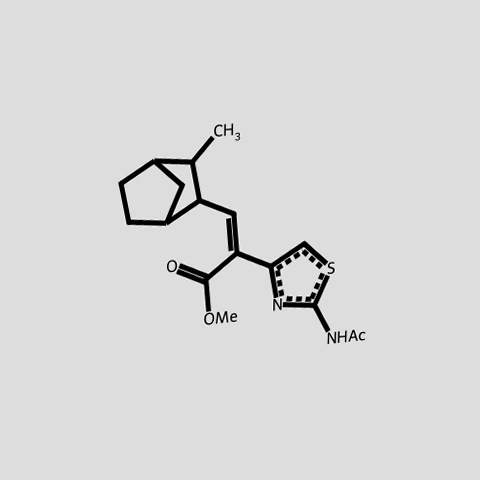 COC(=O)/C(=C\C1C2CCC(C2)C1C)c1csc(NC(C)=O)n1